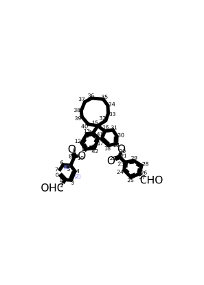 C=C(C=O)/C=C\C(=C/C)C(=O)Oc1ccc(C2(C3C=CC(OC(=O)c4ccc(C=O)cc4)=CC3)CCCCCCCCC2)cc1